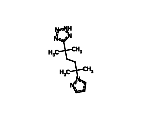 CC(C)(CCC(C)(C)n1cccn1)c1nn[nH]n1